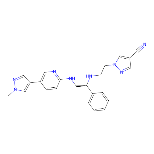 Cn1cc(-c2ccc(NC[C@@H](NCCn3cc(C#N)cn3)c3ccccc3)nc2)cn1